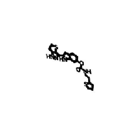 O=C(NCCc1cccs1)Oc1ccc2cc(-c3n[nH]c4ccsc34)[nH]c2c1